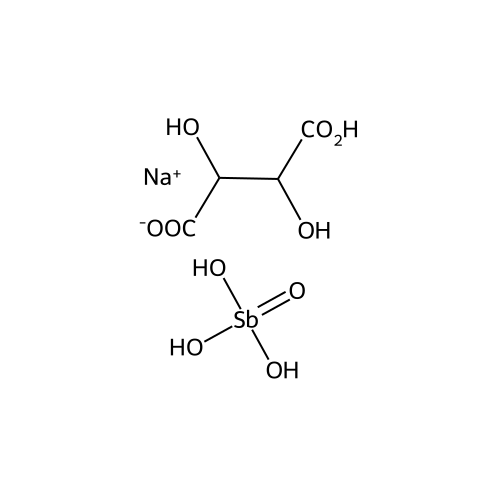 O=C([O-])C(O)C(O)C(=O)O.[Na+].[O]=[Sb]([OH])([OH])[OH]